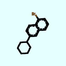 Brc1cccc2cc([C]3CCCCC3)ccc12